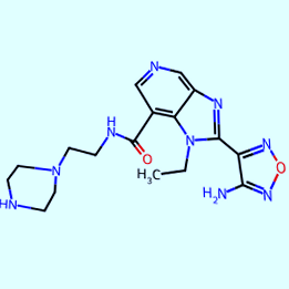 CCn1c(-c2nonc2N)nc2cncc(C(=O)NCCN3CCNCC3)c21